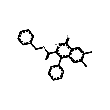 Cc1cc2c(-c3ccccc3)c(C(=O)OCc3ccccc3)[nH]c(=O)c2cc1C